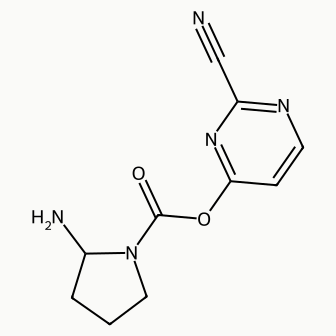 N#Cc1nccc(OC(=O)N2CCCC2N)n1